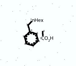 CC(=O)O.CCCCCCCc1ccccc1